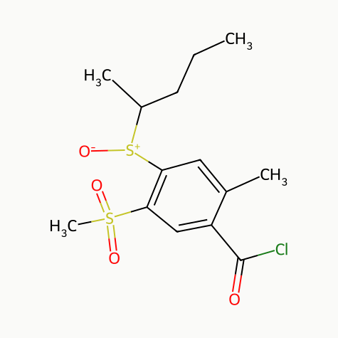 CCCC(C)[S+]([O-])c1cc(C)c(C(=O)Cl)cc1S(C)(=O)=O